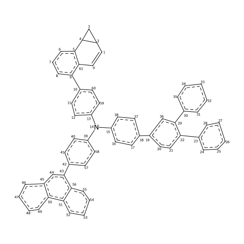 C1=CC2CC2c2cccc(-c3ccc(N(c4ccc(-c5ccc(-c6ccccc6)c(-c6ccccc6)c5)cc4)c4ccc(-c5cc6ccccc6c6ccccc56)cc4)cc3)c21